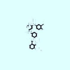 N#Cc1cccc(C(=O)Nc2cccc(Nc3cc(Nc4ccc(F)c(CI)c4)ncn3)c2)c1F